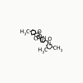 Cc1ccc(S(=O)(=O)Cc2cccc(C(=O)N3CC(C)CC(C)C3)n2)c(C)c1